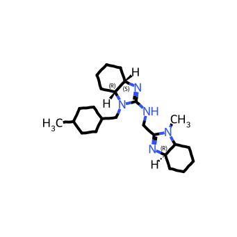 CC1CCC(CN2C(NCC3=N[C@@H]4CCCCC4N3C)=N[C@H]3CCCC[C@H]32)CC1